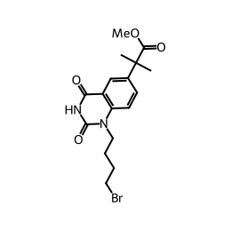 COC(=O)C(C)(C)c1ccc2c(c1)c(=O)[nH]c(=O)n2CCCCBr